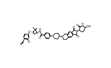 CC1(C)[C@@H](NC(=O)c2ccc(N3CCC(N4CCc5cc6c(cc5C4)C(=O)N(C4CCC(O)NC4=O)C6=O)CC3)cc2)C[C@@H]1Oc1ccc(C#N)c(Cl)c1